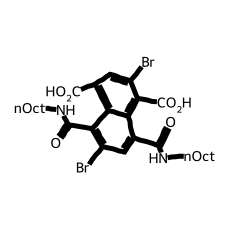 CCCCCCCCNC(=O)c1cc(Br)c(C(=O)NCCCCCCCC)c2c(C(=O)O)cc(Br)c(C(=O)O)c12